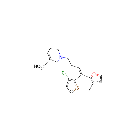 Cc1ccoc1C(=CCCN1CCC=C(C(=O)O)C1)c1sccc1Cl